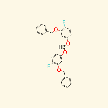 Fc1ccc(OBOc2ccc(F)c(OCc3ccccc3)c2)cc1OCc1ccccc1